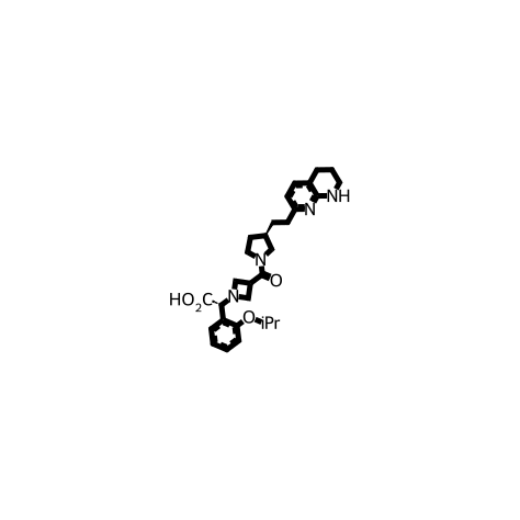 CC(C)Oc1ccccc1[C@H](C(=O)O)N1CC(C(=O)N2CC[C@@H](CCc3ccc4c(n3)NCCC4)C2)C1